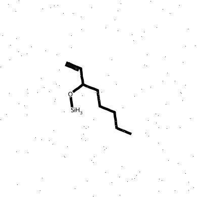 C=CC(CCCCC)O[SiH3]